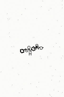 COCNC(=O)C1CCC(NC(=O)OCc2ccccc2)CC1